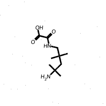 CC(C)(N)CC(C)(C)CNC(=O)C(=O)O